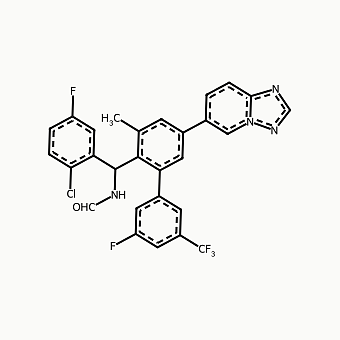 Cc1cc(-c2ccc3ncnn3c2)cc(-c2cc(F)cc(C(F)(F)F)c2)c1C(NC=O)c1cc(F)ccc1Cl